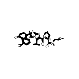 COCCN(C)C(=O)[C@@H]1CCCN1C(=O)C1=C(C(C)C)N2C(=N[C@@](C)(c3ccc(Cl)cc3)[C@H]2c2ccc(Cl)cc2)S1